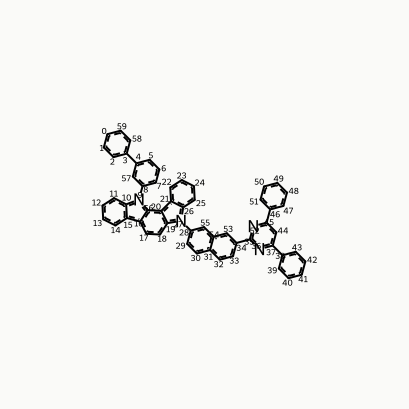 c1ccc(-c2cccc(-n3c4ccccc4c4ccc5c(c6ccccc6n5-c5ccc6ccc(-c7nc(-c8ccccc8)cc(-c8ccccc8)n7)cc6c5)c43)c2)cc1